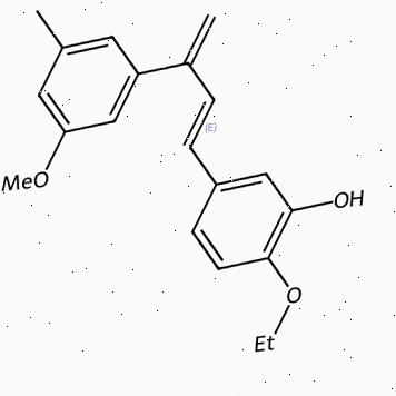 C=C(/C=C/c1ccc(OCC)c(O)c1)c1cc(C)cc(OC)c1